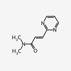 CN(C)C(=O)/C=C/c1ncccn1